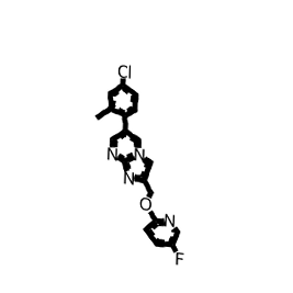 Cc1cc(Cl)ccc1-c1cnc2nc(COc3ccc(F)cn3)cn2c1